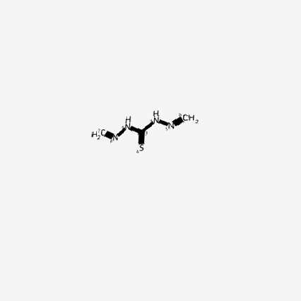 C=NNC(=S)NN=C